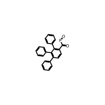 O=PC(=O)c1ccc(-c2ccccc2)c(-c2ccccc2)c1-c1ccccc1